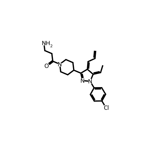 C=C/C=c1/c(C2CCN(C(=O)CCN)CC2)nn(-c2ccc(Cl)cc2)/c1=C/C